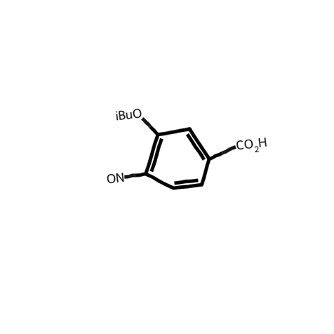 CC(C)COc1cc(C(=O)O)ccc1N=O